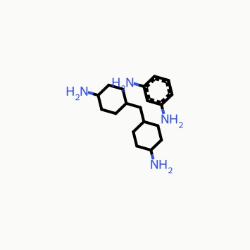 NC1CCC(CC2CCC(N)CC2)CC1.Nc1cccc(N)c1